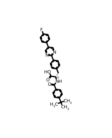 CC(C)(C)c1ccc(C(=O)N[C@@H](Cc2ccc(-c3ncc(-c4ccc(F)cc4)cn3)cc2)C(=O)O)cc1